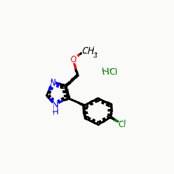 COCc1nc[nH]c1-c1ccc(Cl)cc1.Cl